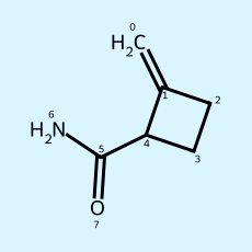 C=C1CCC1C(N)=O